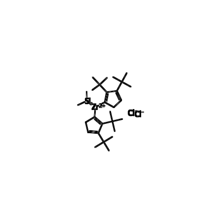 C[Si](C)=[Zr+2]([C]1=C(C(C)(C)C)C(C(C)(C)C)=CC1)[C]1=C(C(C)(C)C)C(C(C)(C)C)=CC1.[Cl-].[Cl-]